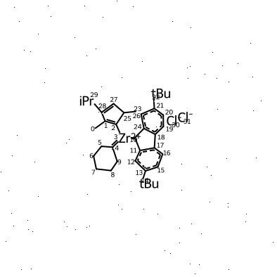 CC1=[C]([Zr+2](=[C]2CCCCC2)[CH]2c3cc(C(C)(C)C)ccc3-c3ccc(C(C)(C)C)cc32)C(C)C=C1C(C)C.[Cl-].[Cl-]